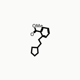 COC(=O)c1ccccc1CCC1CCCC1